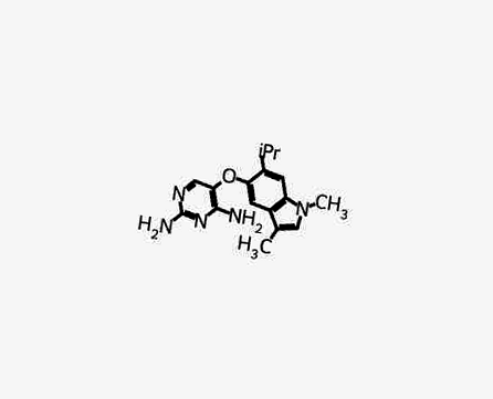 Cc1cn(C)c2cc(C(C)C)c(Oc3cnc(N)nc3N)cc12